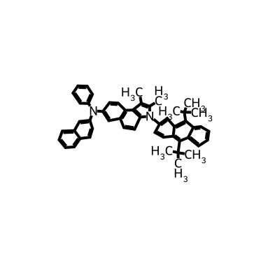 Cc1c(C)n(-c2ccc3c(C(C)(C)C)c4ccccc4c(C(C)(C)C)c3c2)c2ccc3cc(N(c4ccccc4)c4ccc5ccccc5c4)ccc3c12